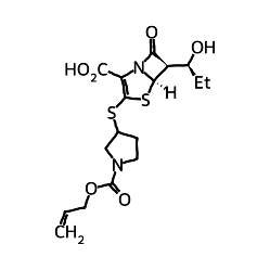 C=CCOC(=O)N1CCC(SC2=C(C(=O)O)N3C(=O)[C@@H]([C@@H](O)CC)[C@H]3S2)C1